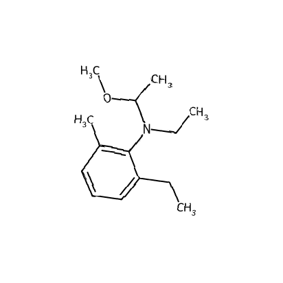 CCc1cccc(C)c1N(CC)C(C)OC